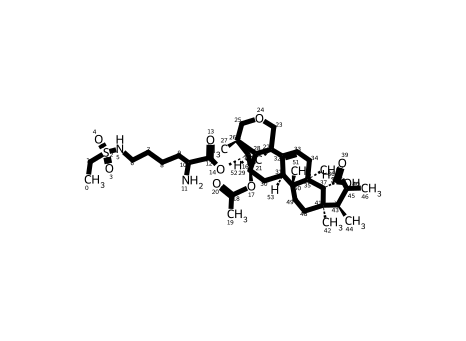 CCS(=O)(=O)NCCCCC(N)C(=O)O[C@H]1[C@H](OC(C)=O)C[C@@]23COC[C@]1(C)[C@@H]2CC[C@H]1C3=CC[C@@]2(C)[C@H](C(=O)O)[C@@](C)([C@H](C)C(C)C)CC[C@]12C